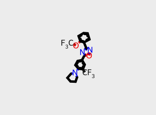 FC(F)(F)Oc1ccccc1-c1noc(-c2ccc(N3CCCCC3)c(C(F)(F)F)c2)n1